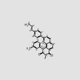 Cn1c(=O)c2cnc3ccc(-c4ccc(N=NN)nc4)nc3c2n(-c2cccc(C(F)(F)F)c2)c1=O